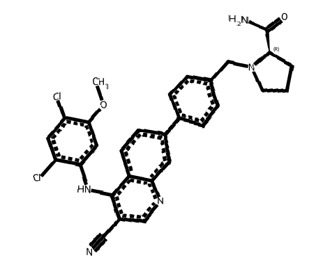 COc1cc(Nc2c(C#N)cnc3cc(-c4ccc(CN5CCC[C@@H]5C(N)=O)cc4)ccc23)c(Cl)cc1Cl